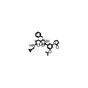 CC(C)Oc1cc(C(=O)N[C@@H](Cc2ccccc2)[C@H](O)C[C@@H](C)C(=O)NCC2CC2)cc(N2CCCC2=O)c1